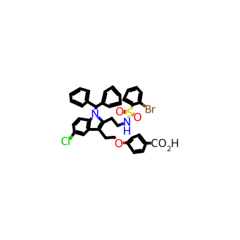 O=C(O)c1ccc(OCCc2c(CCNS(=O)(=O)c3ccccc3Br)n(C(c3ccccc3)c3ccccc3)c3ccc(Cl)cc23)cc1